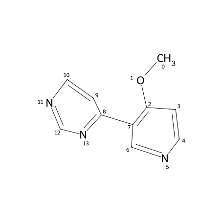 COc1ccncc1-c1ccncn1